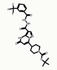 CC(C)(C)OC(=O)N1CCC(c2cc(=O)[nH]c3c(C(=O)NNC(=O)c4cccc(C(F)(F)F)c4)cnn23)CC1